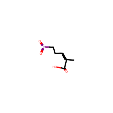 CC(=CCCP(=O)=O)C(=O)O